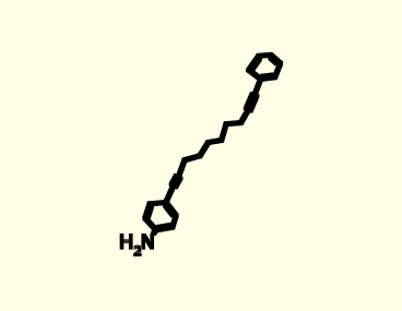 Nc1ccc(C#CCCCCCCC#Cc2ccccc2)cc1